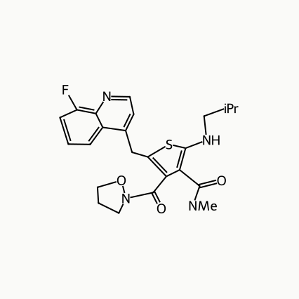 CNC(=O)c1c(NCC(C)C)sc(Cc2ccnc3c(F)cccc23)c1C(=O)N1CCCO1